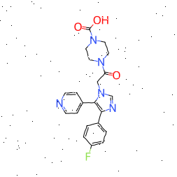 O=C(O)N1CCN(C(=O)Cn2cnc(-c3ccc(F)cc3)c2-c2ccncc2)CC1